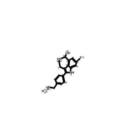 CNCc1ccc(-c2[nH]c3cc(F)cc4c3c2CCNC4O)cc1